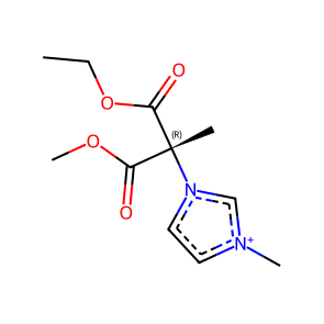 CCOC(=O)[C@@](C)(C(=O)OC)n1cc[n+](C)c1